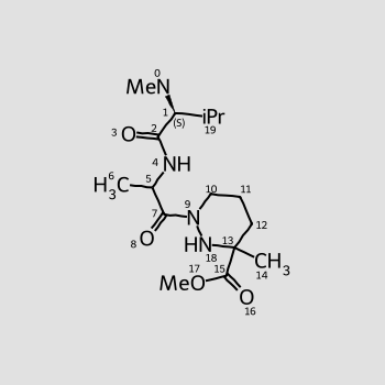 CN[C@H](C(=O)NC(C)C(=O)N1CCCC(C)(C(=O)OC)N1)C(C)C